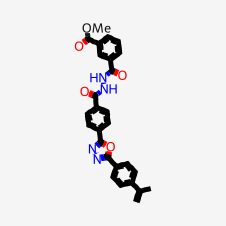 C=C(C)c1ccc(-c2nnc(-c3ccc(C(=O)NNC(=O)c4cccc(C(=O)OC)c4)cc3)o2)cc1